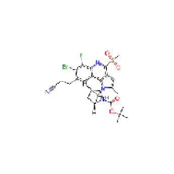 Cc1cc2c(S(C)(=O)=O)nc3c(F)c(Br)c(CCC#N)cc3c2n1[C@H]1[C@@H]2C[C@H]1N(C(=O)OC(C)(C)C)C2